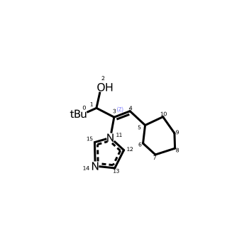 CC(C)(C)C(O)/C(=C/C1CCCCC1)n1ccnc1